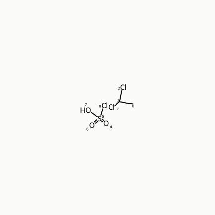 CC(Cl)Cl.O=S(=O)(O)Cl